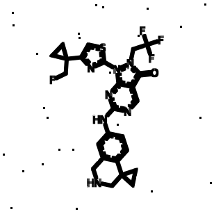 O=c1c2cnc(Nc3ccc4c(c3)CNCC43CC3)nc2n(-c2nc(C3(CF)CC3)cs2)n1CC(F)(F)F